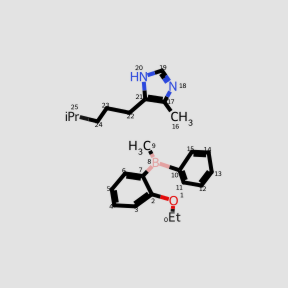 CCOc1ccccc1B(C)c1ccccc1.Cc1nc[nH]c1CCCC(C)C